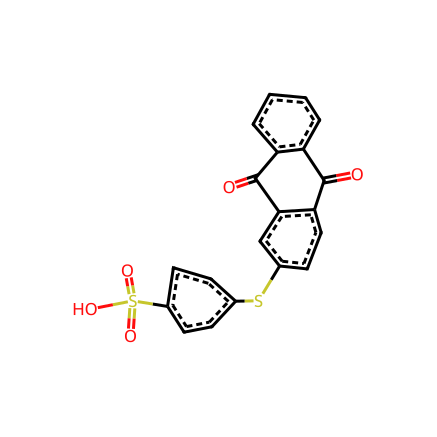 O=C1c2ccccc2C(=O)c2cc(Sc3ccc(S(=O)(=O)O)cc3)ccc21